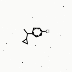 CC(c1ccc(Cl)cc1)C1CC1